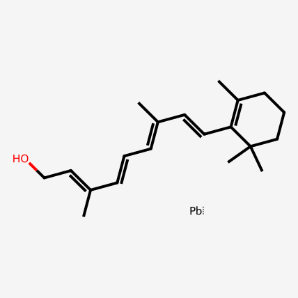 CC(C=CC1=C(C)CCCC1(C)C)=CC=CC(C)=CCO.[Pb]